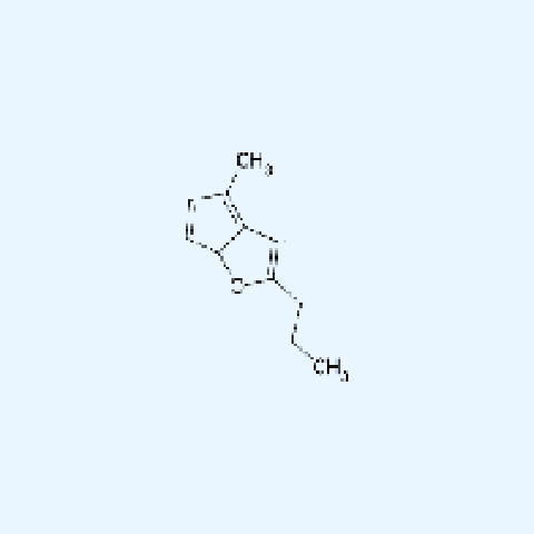 CCCC1=[C]C2=C(C)C=CC2O1